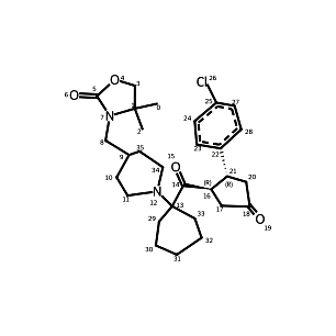 CC1(C)COC(=O)N1CC1CCN(C2(C(=O)[C@@H]3CC(=O)C[C@H]3c3ccc(Cl)cc3)CCCCC2)CC1